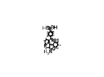 NC(=O)c1cnn2ccc3c2c1-c1ccccc1NC3c1ccc(B(O)O)cc1